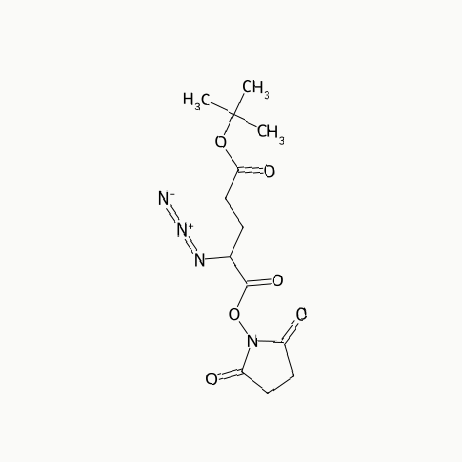 CC(C)(C)OC(=O)CCC(N=[N+]=[N-])C(=O)ON1C(=O)CCC1=O